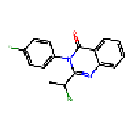 CC(Br)c1nc2ccccc2c(=O)n1-c1ccc(F)cc1